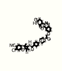 CC1(C)[C@H](NC(=O)c2ccc(N3CCN(C(=O)COc4ccc5nnn(C6CCC(=O)NC6=O)c(=O)c5c4)CC3)cc2)C(C)(C)[C@H]1Oc1ccc(C#N)c(Cl)c1